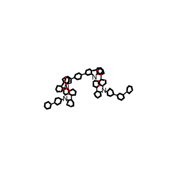 c1ccc(-c2ccc(N(c3ccc(-c4cccc(-c5ccccc5)c4)cc3)c3ccccc3-c3ccc(-n4c5ccccc5c5ccc(-c6ccc(-c7cccc(-c8ccc(N(c9ccc(-c%10ccccc%10)cc9)c9ccccc9-c9cccc(-n%10c%11ccccc%11c%11ccccc%11%10)c9)cc8)c7)cc6)cc54)cc3)cc2)cc1